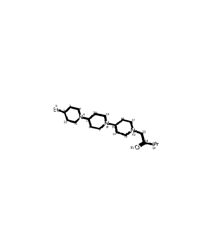 CCC1CCN(C2CCN(C3CCN(CC(=O)C(C)C)CC3)CC2)CC1